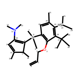 C=CCOc1c([Si](C)(C)C2=C(N(C)C)C=C(C)C2C)cc(C)c([SiH](C)C)c1C(C)(C)C